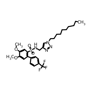 CCCCCCCCCCn1cc(CNS(=O)(=O)c2cc(OC)c(OC)cc2-c2ccc(C(F)(F)F)cc2)nn1